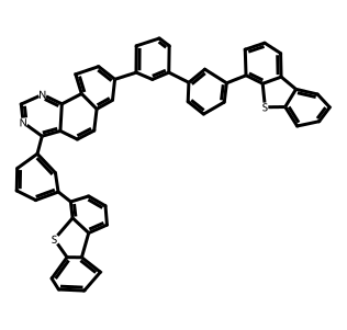 c1cc(-c2cccc(-c3cccc4c3sc3ccccc34)c2)cc(-c2ccc3c(ccc4c(-c5cccc(-c6cccc7c6sc6ccccc67)c5)ncnc43)c2)c1